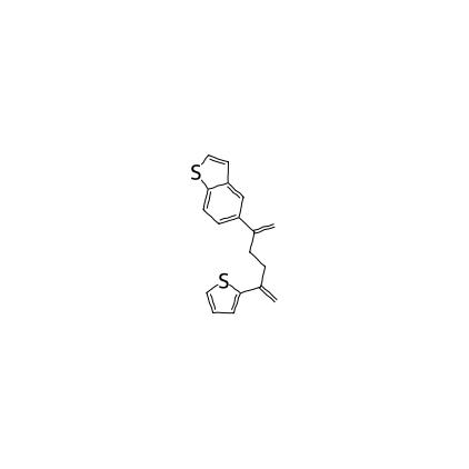 C=C(CCC(=C)c1cccs1)c1ccc2sccc2c1